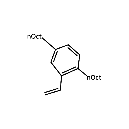 C=Cc1cc(CCCCCCCC)ccc1CCCCCCCC